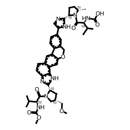 COC[C@H]1C[C@@H](c2nc3ccc4cc5c(cc4c3[nH]2)OCc2cc(-c3cnc([C@@H]4CC[C@H](C)N4C(=O)[C@@H](NC(=O)O)C(C)C)[nH]3)ccc2-5)N(C(=O)[C@@H](NC(=O)OC)C(C)C)C1